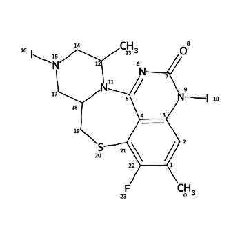 Cc1cc2c3c(nc(=O)n2I)N2C(C)CN(I)CC2CSc3c1F